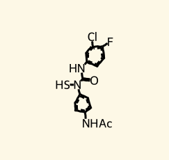 CC(=O)Nc1ccc(N(S)C(=O)Nc2ccc(F)c(Cl)c2)cc1